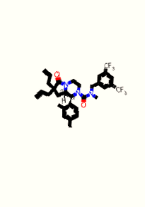 C=CCC1(CC=C)C[C@H]2[C@H](c3ccc(C)cc3C)N(C(=O)N(C)Cc3cc(C(F)(F)F)cc(C(F)(F)F)c3)CCN2C1=O